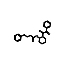 O=C(CCCc1ccccc1)OC1CCCCN1C(=O)C(=O)c1ccccc1